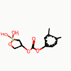 Cc1ccc(OC(=O)OC2COS(O)(O)C2)cc1C